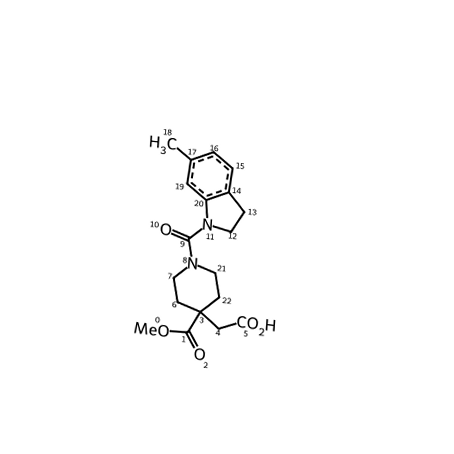 COC(=O)C1(CC(=O)O)CCN(C(=O)N2CCc3ccc(C)cc32)CC1